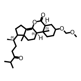 COCOC1CCC2(C)[C@H](C1)C(=O)OC1=C3CCC([C@H](C)CCC(=O)C(C)C)C3(C)CC[C@@H]12